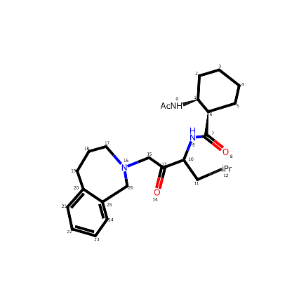 CC(=O)N[C@H]1CCCC[C@H]1C(=O)NC(CC(C)C)C(=O)CN1CCCc2ccccc2C1